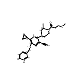 COCCC(=O)N1CCN(c2nc(C3CC3)c(OCc3cccnc3)cc2C#N)CC1C